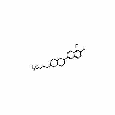 CCCCC1CCC2CC(c3ccc4c(F)c(F)ccc4c3)CCC2C1